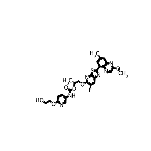 COc1cnc2c(-c3nc4cc(F)c(OC[C@@H](C)OC(=O)Nc5ccc(OCCO)nc5)nc4s3)cc(C)cc2n1